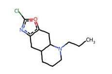 CCCN1CCCC2Cc3nc(Cl)oc3CC21